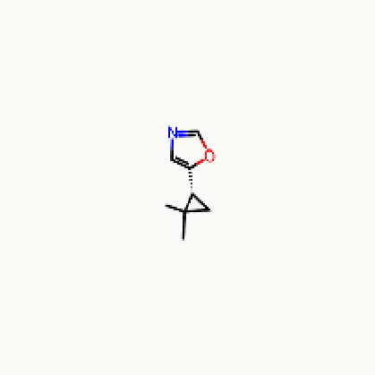 CC1(C)C[C@H]1c1cnco1